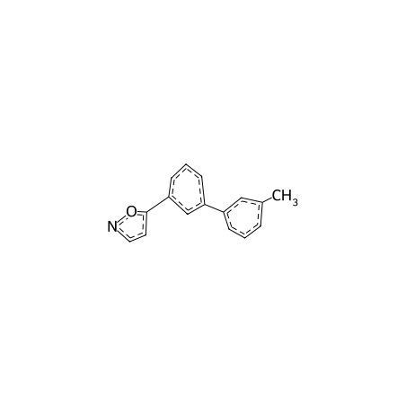 Cc1cccc(-c2cccc(-c3ccno3)c2)c1